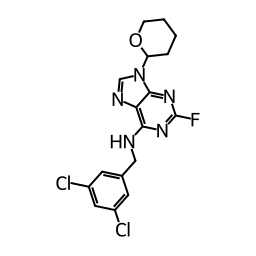 Fc1nc(NCc2cc(Cl)cc(Cl)c2)c2ncn(C3CCCCO3)c2n1